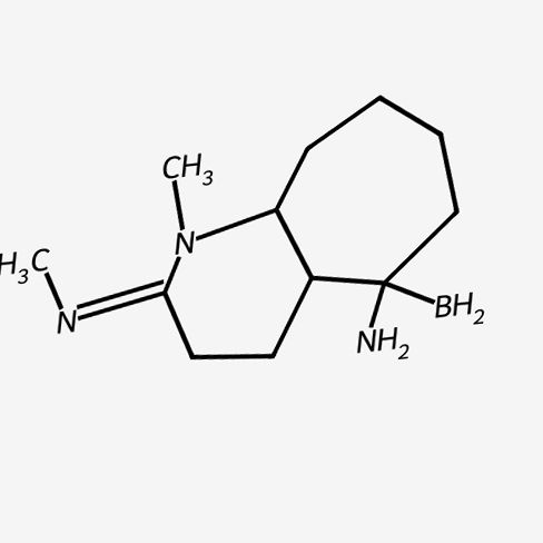 BC1(N)CCCCC2C1CC/C(=N/C)N2C